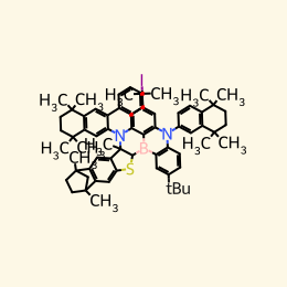 CC(C)(C)c1ccc2c(c1)B1c3c(cc(C(C)(C)I)cc3N(c3cc4c(cc3-c3ccccc3)C(C)(C)CCC4(C)C)C3(C)c4cc5c(cc4SC13)C1(C)CCC5(C)C1)N2c1ccc2c(c1)C(C)(C)CCC2(C)C